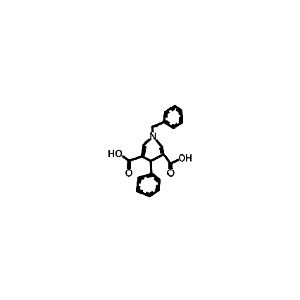 O=C(O)C1=CN(Cc2ccccc2)C=C(C(=O)O)C1c1ccccc1